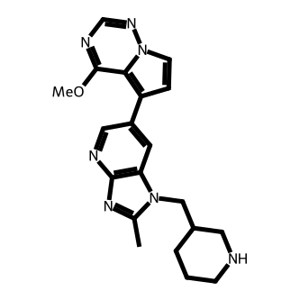 COc1ncnn2ccc(-c3cnc4nc(C)n(CC5CCCNC5)c4c3)c12